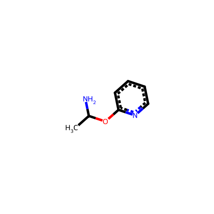 C[C](N)Oc1ccccn1